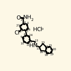 Cl.NC(=O)c1ccc(-c2cccc(CNC3Cc4ccccc4C3)c2)c(Cl)c1